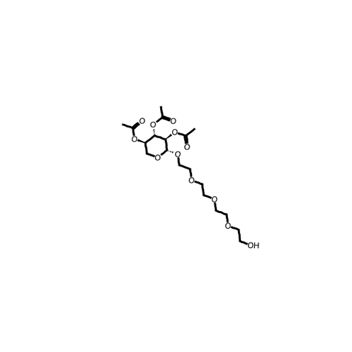 CC(=O)O[C@@H]1[C@@H](OC(C)=O)[C@H](OCCOCCOCCOCCO)OC[C@H]1OC(C)=O